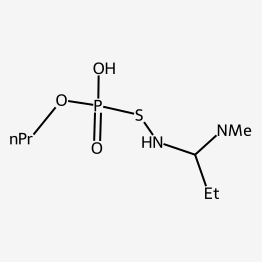 CCCOP(=O)(O)SNC(CC)NC